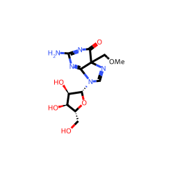 COCC12N=CN([C@@H]3O[C@H](CO)[C@@H](O)[C@H]3O)C1=NC(N)=NC2=O